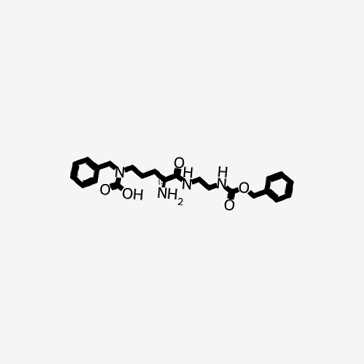 N[C@@H](CCCN(Cc1ccccc1)C(=O)O)C(=O)NCCNC(=O)OCc1ccccc1